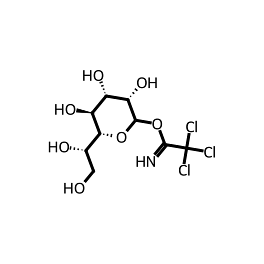 N=C(OC1O[C@H]([C@@H](O)CO)[C@@H](O)[C@H](O)[C@@H]1O)C(Cl)(Cl)Cl